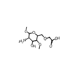 COC1OC(COCC(=O)O)C(OC)C(O)C1N